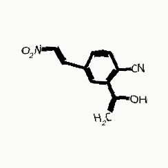 C=C(O)c1cc(/C=C/[N+](=O)[O-])ccc1C#N